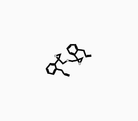 C=CCc1ccccc1C1(COCC2(c3ccccc3CC=C)CO2)CO1